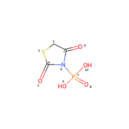 O=C1CSC(=O)N1P(=O)(O)O